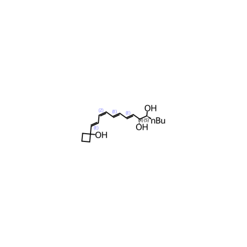 CCCC[C@H](O)[C@H](O)/C=C/C=C/C=C\C=C\C1(O)CCC1